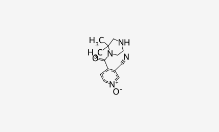 CC1(C)CNCCN1C(=O)c1cc[n+]([O-])cc1C#N